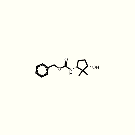 CC1(C)[C@@H](O)CC[C@H]1NC(=O)OCc1ccccc1